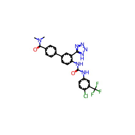 CN(C)C(=O)c1ccc(-c2ccc(NC(=O)Nc3ccc(Cl)c(C(F)(F)F)c3)c(-c3nnn[nH]3)c2)cc1